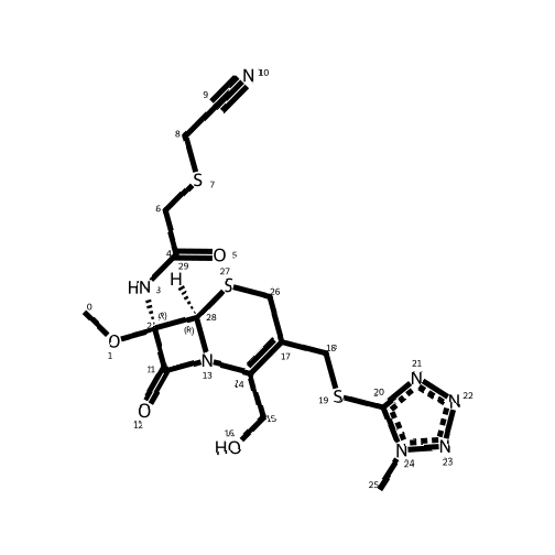 CO[C@]1(NC(=O)CSCC#N)C(=O)N2C(CO)=C(CSc3nnnn3C)CS[C@@H]21